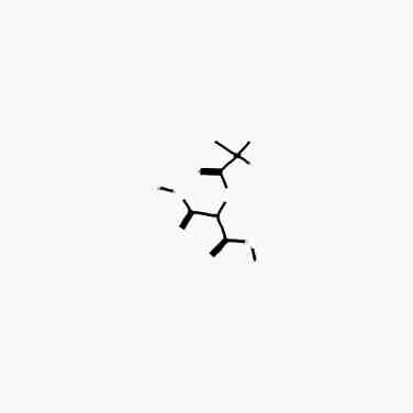 CCC(C)(C)C(=O)OC(C(=O)OC(C)(C)C)C(=O)OC(C)(C)C